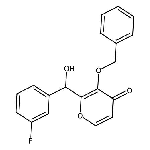 O=c1ccoc(C(O)c2cccc(F)c2)c1OCc1ccccc1